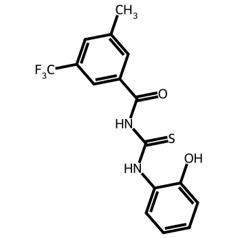 Cc1cc(C(=O)NC(=S)Nc2ccccc2O)cc(C(F)(F)F)c1